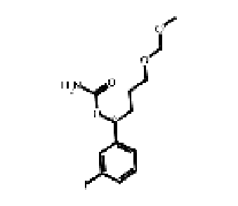 COCOCCC[C@H](OC(N)=O)c1cccc(I)c1